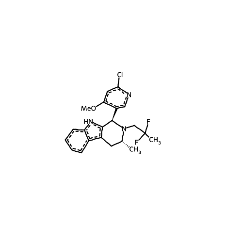 COc1cc(Cl)ncc1[C@@H]1c2[nH]c3ccccc3c2C[C@@H](C)N1CC(C)(F)F